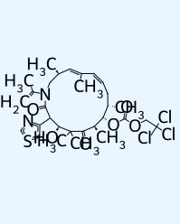 C=C(C)N1C[C@@H](C)/C=C(C)/C=C\C[C@H](C)[C@H](OC(=O)OCC(Cl)(Cl)Cl)[C@@H](C)C(=O)C(C)(C)[C@@H](O)C(c2cscn2)C1=O